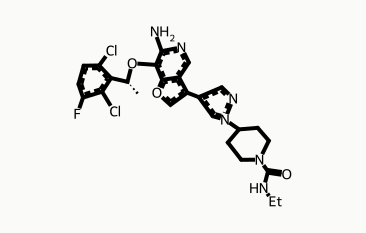 CCNC(=O)N1CCC(n2cc(-c3coc4c(O[C@H](C)c5c(Cl)ccc(F)c5Cl)c(N)ncc34)cn2)CC1